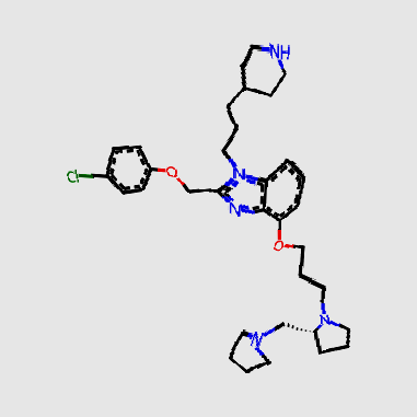 Clc1ccc(OCc2nc3c(OCCCN4CCC[C@@H]4CN4CCCC4)cccc3n2CCCC2CCNCC2)cc1